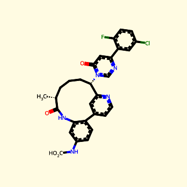 C[C@@H]1CCC[C@H](n2cnc(-c3cc(Cl)ccc3F)cc2=O)c2cc(ccn2)-c2ccc(NC(=O)O)cc2NC1=O